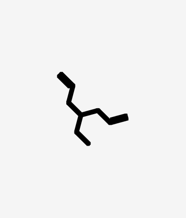 C=CC[C](CC)CC=C